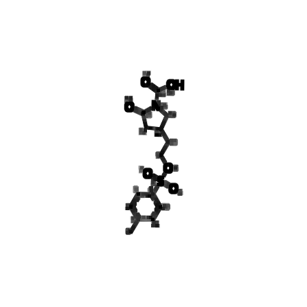 Cc1ccc(S(=O)(=O)OCCC2CC(=O)N(C(=O)O)C2)cc1